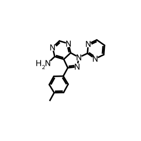 Cc1ccc(-c2nn(-c3ncccn3)c3ncnc(N)c23)cc1